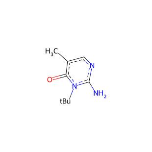 Cc1cnc(N)n(C(C)(C)C)c1=O